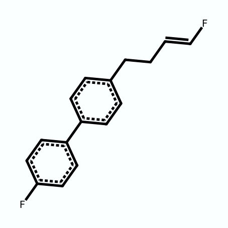 F/C=C/CCc1ccc(-c2ccc(F)cc2)cc1